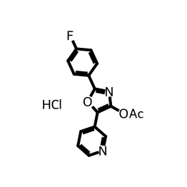 CC(=O)Oc1nc(-c2ccc(F)cc2)oc1-c1cccnc1.Cl